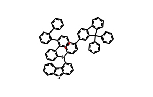 c1ccc(-c2ccccc2-c2ccccc2-c2ccccc2N(c2ccc(-c3ccc4c(c3)C(c3ccccc3)(c3ccccc3)c3ccccc3-4)cc2)c2cccc3sc4ccccc4c23)cc1